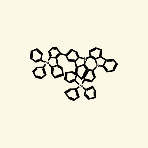 c1ccc([Si](c2ccccc2)(c2ccccc2)c2ccc(-n3c4ccccc4c4cccc(-n5c6ccccc6c6cc(-c7cccc8c7-c7ccccc7[Si]8(c7ccccc7)c7ccccc7)ccc65)c43)cc2)cc1